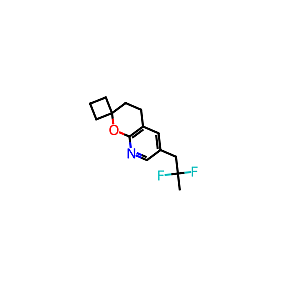 CC(F)(F)Cc1cnc2c(c1)CCC1(CCC1)O2